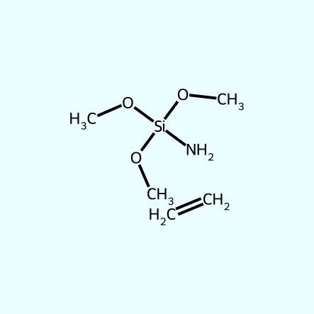 C=C.CO[Si](N)(OC)OC